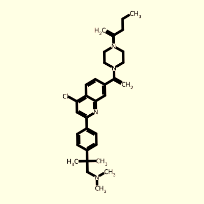 C=C(CCC)N1CCN(C(=C)c2ccc3c(Cl)cc(-c4ccc(C(C)(C)CN(C)C)cc4)nc3c2)CC1